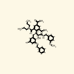 CCCN(CCC)C(=O)c1cc(C(N)=O)cc(C(N)=O)c1[C@H](Cc1cc(F)cc(OCc2ccccc2)c1)[C@@H](O)CNCc1cccc(OC)c1